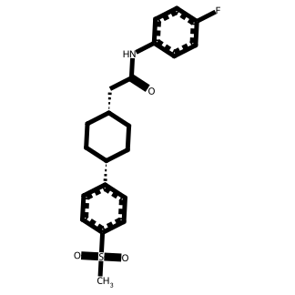 CS(=O)(=O)c1ccc([C@H]2CC[C@@H](CC(=O)Nc3ccc(F)cc3)CC2)cc1